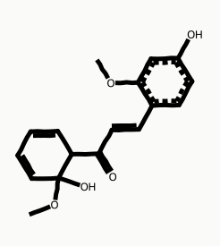 COc1cc(O)ccc1/C=C/C(=O)C1C=CC=CC1(O)OC